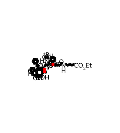 CCOC(=O)CCCCCNC(=O)COCC(=O)O[C@@H](C(=O)O[C@H]1C[C@@]2(O)C(OC(=O)c3ccccc3)C3[C@](C)(C(=O)[C@H](O)C(=C1C)C2(C)C)[C@@H](O)C[C@H]1OCC[C@@]31OC(C)=O)C(NC(=O)OC(C)(C)C)c1ccccc1